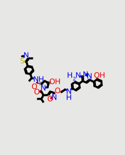 Cc1ncsc1-c1ccc(C(C)NC(=O)[C@@H]2C[C@@H](O)CN2C(=O)C(c2cc(OCCNc3ccc(-c4cc(-c5ccccc5O)nnc4N)cc3)no2)C(C)C)cc1